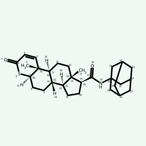 C[C@]12C=CC(=O)S[C@@H]1CC[C@@H]1[C@@H]2CC[C@]2(C)[C@@H](C(=O)NC34CC5CC(CC(C5)C3)C4)CC[C@@H]12